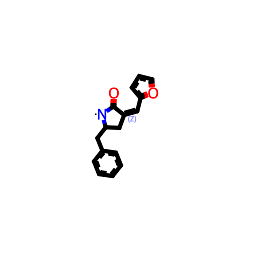 O=C1[N]C(Cc2ccccc2)C/C1=C/c1ccco1